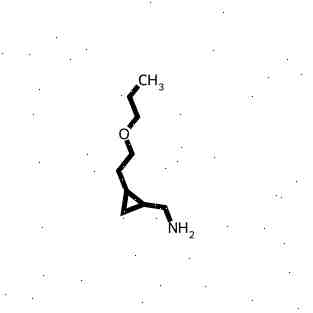 CCCOCCC1CC1CN